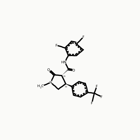 CN1C[C@H](c2ccc(C(F)(F)F)cc2)[C@@H](C(=O)Nc2ccc(F)cc2F)C1=O